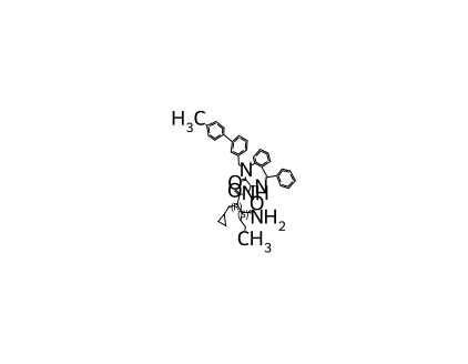 CCC[C@H](C(N)=O)[C@@H](CC1CC1)C(=O)NC1N=C(c2ccccc2)c2ccccc2N(Cc2cccc(-c3ccc(C)cc3)c2)C1=O